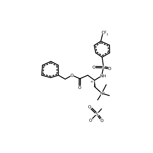 CS(=O)(=O)[O-].C[N+](C)(C)C[C@@H](CC(=O)OCc1ccccc1)NS(=O)(=O)c1ccc(C(F)(F)F)cc1